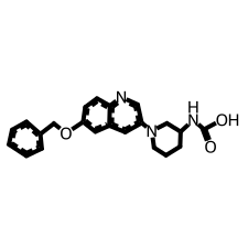 O=C(O)NC1CCCN(c2cnc3ccc(OCc4ccccc4)cc3c2)C1